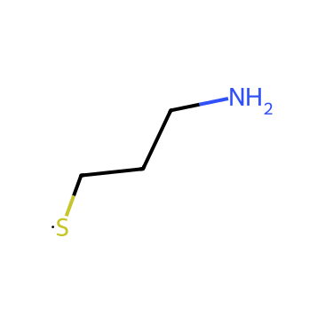 NCCC[S]